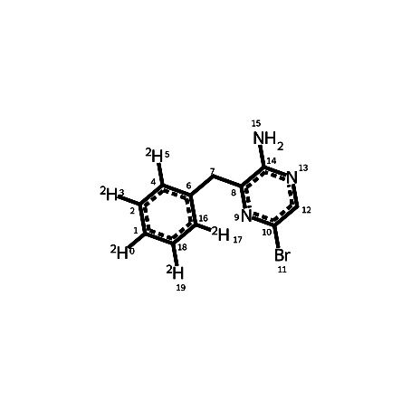 [2H]c1c([2H])c([2H])c(Cc2nc(Br)cnc2N)c([2H])c1[2H]